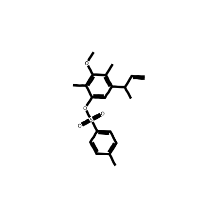 C=CC(C)c1cc(OS(=O)(=O)c2ccc(C)cc2)c(C)c(OC)c1C